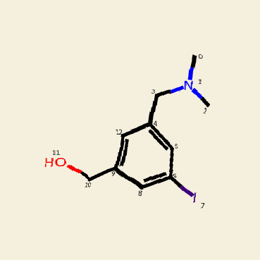 CN(C)Cc1cc(I)cc(CO)c1